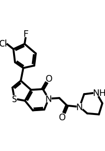 O=C(Cn1ccc2scc(-c3ccc(F)c(Cl)c3)c2c1=O)N1CCCNC1